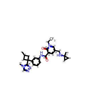 CC1CC(c2cccc(NC(=O)c3cc(CNC4(C)CC4)cn(CC(F)(F)F)c3=O)c2)(c2nncn2C)C1